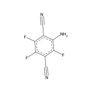 N#Cc1c(N)c(F)c(C#N)c(F)c1F